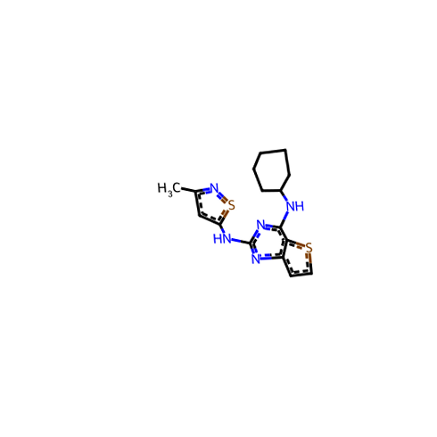 Cc1cc(Nc2nc(NC3CCCCC3)c3sccc3n2)sn1